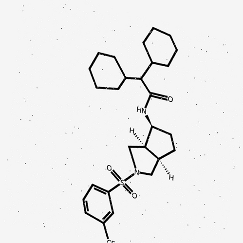 O=C(N[C@H]1CC[C@H]2CN(S(=O)(=O)c3cccc(C(F)(F)F)c3)C[C@H]21)C(C1CCCCC1)C1CCCCC1